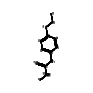 CCSc1ccc(OC(=O)NC)cc1